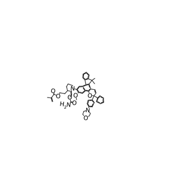 C=C(C)C(=O)OCCC1CCCN(c2cc3c4c(c5c(c3cc2OC)OC(c2ccccc2)(c2ccc(N3CCOCC3)cc2)C=C5)C(C)(C)c2ccccc2-4)C1=COC(N)=O